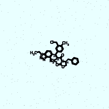 CCn1nnc2c(C)c([C@@H](c3ccc(C)c(CCl)c3)[C@H](C)C(=O)N3C(=O)OC[C@@H]3Cc3ccccc3)ccc21